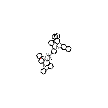 c1ccc(-c2cccc(-c3cc(-c4nc(-c5ccccc5)nc(-c5cccc6c7ccccc7n(-c7ccccc7)c56)n4)ccc3-n3c4cc5ccccc5cc4c4cc5ccccc5cc43)c2)cc1